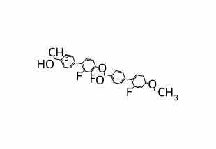 CCOC1C=C(F)C(c2ccc(C(=O)Oc3ccc(-c4ccc(C(C)O)cc4)c(F)c3F)cc2)=CC1